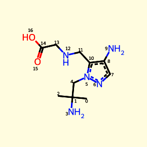 CC(C)(N)Cn1ncc(N)c1CNCC(=O)O